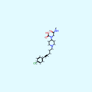 CNC(=O)CN(C(=O)O)C1CCN(CCCC#Cc2ccc(Cl)cc2)CC1